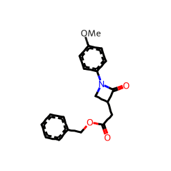 COc1ccc(N2CC(CC(=O)OCc3ccccc3)C2=O)cc1